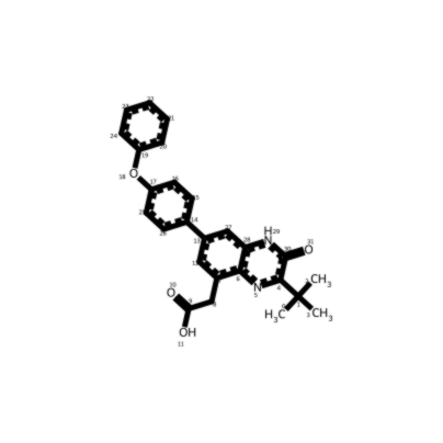 CC(C)(C)c1nc2c(CC(=O)O)cc(-c3ccc(Oc4ccccc4)cc3)cc2[nH]c1=O